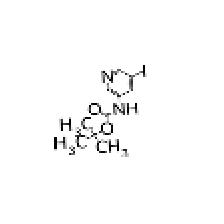 CC(C)(C)OC(=O)Nc1cncc(I)c1